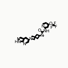 CN(C(=O)Nc1cc(OC(F)(F)F)ccn1)C1CC2(C1)CN(c1cnc3[nH]ncc3c1)C2